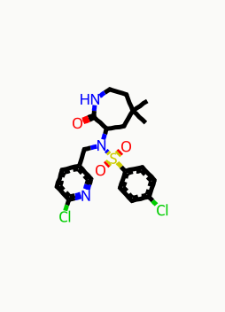 CC1(C)CCNC(=O)C(N(Cc2ccc(Cl)nc2)S(=O)(=O)c2ccc(Cl)cc2)C1